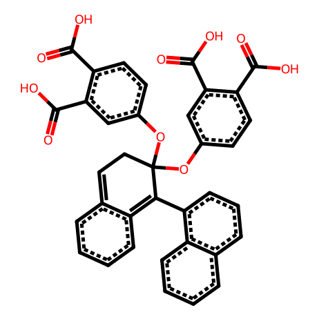 O=C(O)c1ccc(OC2(Oc3ccc(C(=O)O)c(C(=O)O)c3)CC=c3ccccc3=C2c2cccc3ccccc23)cc1C(=O)O